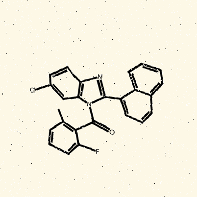 Cc1cccc(F)c1C(=O)n1c(-c2cccc3ccccc23)nc2ccc(Cl)cc21